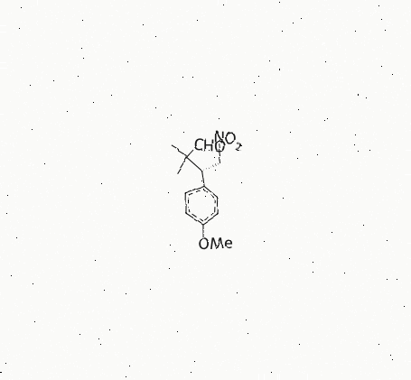 COc1ccc([C@@H](C[N+](=O)[O-])C(C)(C)C=O)cc1